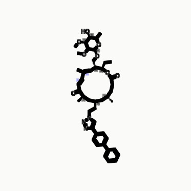 CC[C@H]1OC(=O)CC[C@H](C)C[C@@H](CCn2cc(-c3ccc(-c4ccccc4)cc3)nn2)C[C@@H](C)C(=O)/C=C/C(C)=C/[C@@H]1CO[C@@H]1OC(C)[C@@H](O)[C@H](OC)C1OC